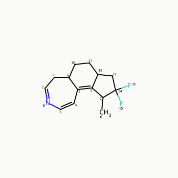 CC1C2=C3C=CN=CCC3CCC2CC1(F)F